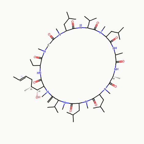 C=C1C(C(C)C)N(C)C(=O)C(CC(C)C)N(C)C(=O)C(CC(C)C)N(C)C(=O)[C@@H](C)NC(=O)C(C)NC(=O)C(CC(C)C)N(C)C(=O)C(C(C)C)NC(=O)C(CC(C)C)N(C)C(=O)CN(C)C(=O)C(CC)NC(=O)C([C@H](O)[C@H](C)C/C=C/C)N1C